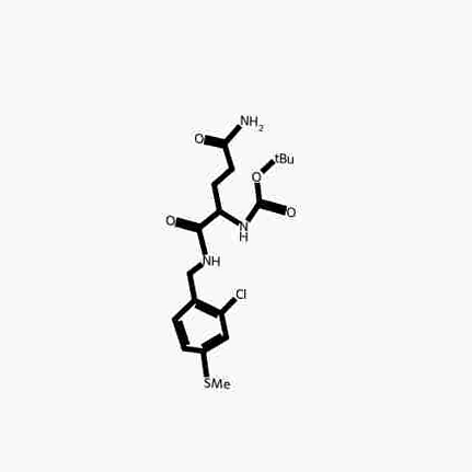 CSc1ccc(CNC(=O)C(CCC(N)=O)NC(=O)OC(C)(C)C)c(Cl)c1